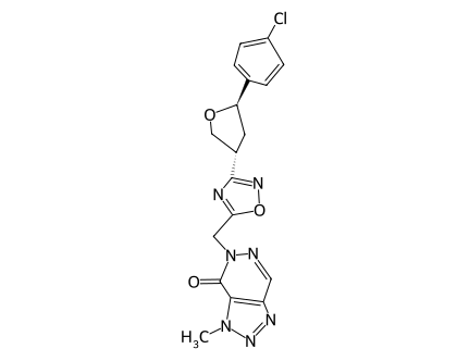 Cn1nnc2cnn(Cc3nc([C@@H]4CO[C@@H](c5ccc(Cl)cc5)C4)no3)c(=O)c21